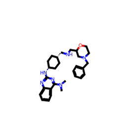 CN(C)c1nc(N[C@H]2CC[C@@H](CNCC3CN(Cc4ccccc4)CCO3)CC2)nc2ccccc12